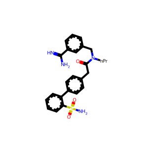 CCCN(Cc1cccc(C(=N)N)c1)C(=O)Cc1ccc(-c2ccccc2S(N)(=O)=O)cc1